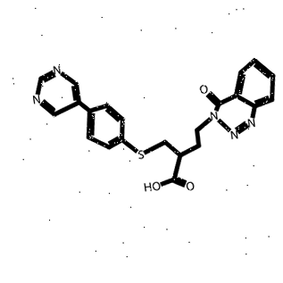 O=C(O)C(CCn1nnc2ccccc2c1=O)CSc1ccc(-c2cncnc2)cc1